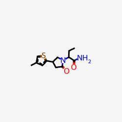 CCC(C(N)=O)N1CC(c2cc(C)cs2)CC1=O